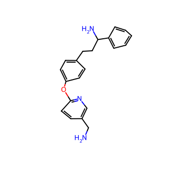 NCc1ccc(Oc2ccc(CCC(N)c3ccccc3)cc2)nc1